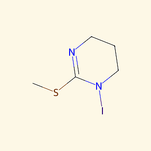 CSC1=NCCCN1I